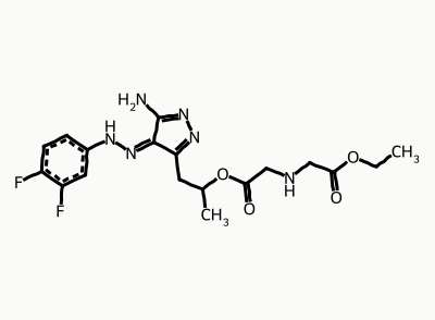 CCOC(=O)CNCC(=O)OC(C)CC1=NN=C(N)C1=NNc1ccc(F)c(F)c1